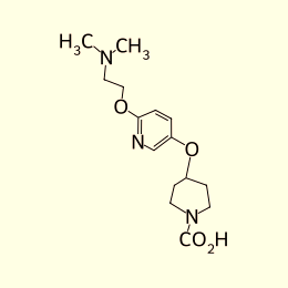 CN(C)CCOc1ccc(OC2CCN(C(=O)O)CC2)cn1